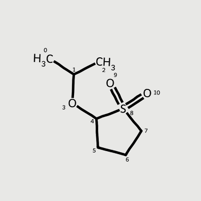 CC(C)OC1CCCS1(=O)=O